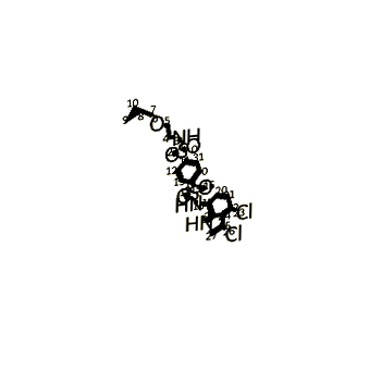 O=S(=O)(NCCOCC1CC1)c1ccc(S(=O)(=O)Nc2ccc(Cl)c3c(Cl)c[nH]c23)cc1